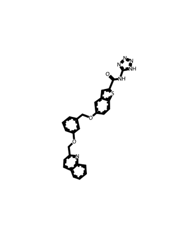 O=C(Nc1nnn[nH]1)c1cc2cc(OCc3cccc(OCc4ccc5ccccc5n4)c3)ccc2s1